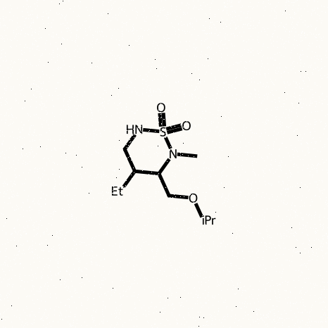 CCC1CNS(=O)(=O)N(C)C1COC(C)C